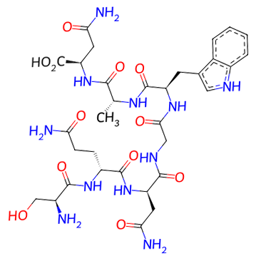 C[C@@H](NC(=O)[C@@H](Cc1c[nH]c2ccccc12)NC(=O)CNC(=O)[C@@H](CC(N)=O)NC(=O)[C@@H](CCC(N)=O)NC(=O)[C@@H](N)CO)C(=O)N[C@H](CC(N)=O)C(=O)O